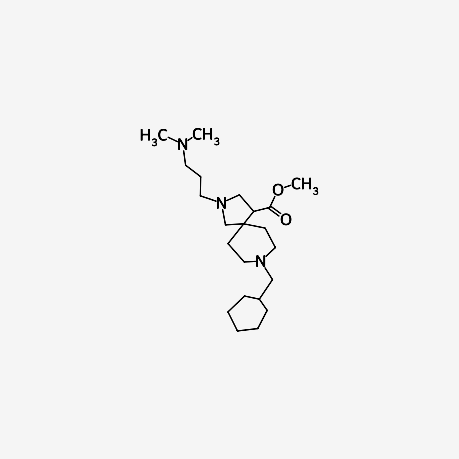 COC(=O)C1CN(CCCN(C)C)CC12CCN(CC1CCCCC1)CC2